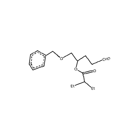 CCC(CC)C(=O)OC(CCC=O)COCc1ccccc1